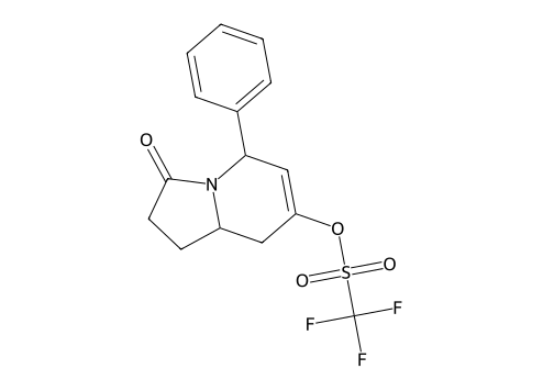 O=C1CCC2CC(OS(=O)(=O)C(F)(F)F)=CC(c3ccccc3)N12